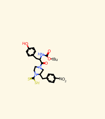 CC(C)(C)OC(=O)NC(Cc1ccc(O)cc1)C(=O)N1CCN(C(=S)S)C(Cc2ccc([N+](=O)[O-])cc2)C1